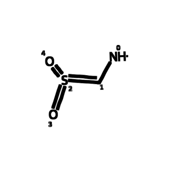 [NH]C=S(=O)=O